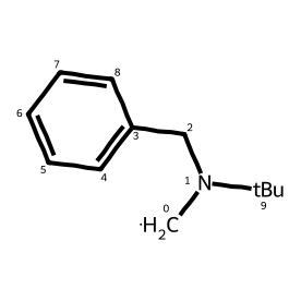 [CH2]N(Cc1ccccc1)C(C)(C)C